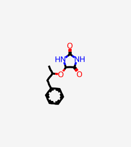 CC(Cc1ccccc1)OC1NC(=O)NC1=O